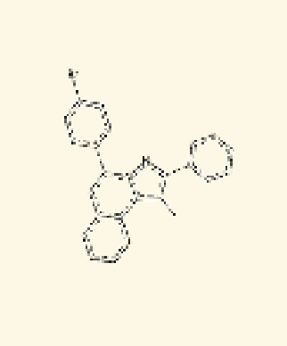 Cc1c(-c2ccccc2)nn2c(-c3ccc(Br)cc3)cc3ccccc3c12